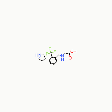 O=C(O)CNCc1cccc([C@@H]2CCNC2)c1C(F)(F)F